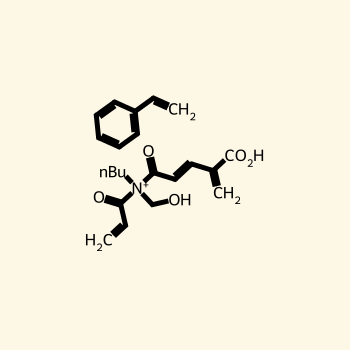 C=CC(=O)[N+](CO)(CCCC)C(=O)C=CC(=C)C(=O)O.C=Cc1ccccc1